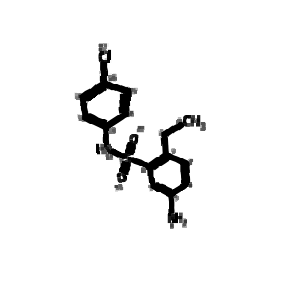 CCc1ccc(N)cc1S(=O)(=O)Nc1ccc(Cl)cc1